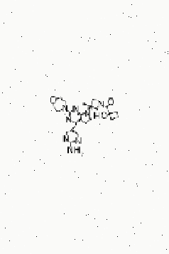 C[C@@]1(N2CCc3c(-c4cnc(N)nc4)nc(N4CCOCC4)nc32)CCN(C(=O)C2(O)CCC2)C1